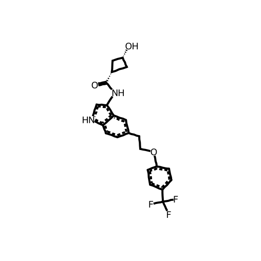 O=C(Nc1c[nH]c2ccc(CCOc3ccc(C(F)(F)F)cc3)cc12)[C@H]1C[C@@H](O)C1